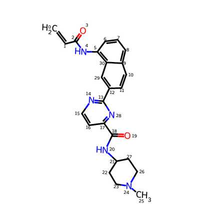 C=CC(=O)Nc1cccc2ccc(-c3nccc(C(=O)NC4CCN(C)CC4)n3)cc12